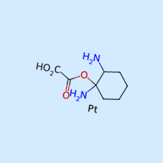 NC1CCCCC1(N)OC(=O)C(=O)O.[Pt]